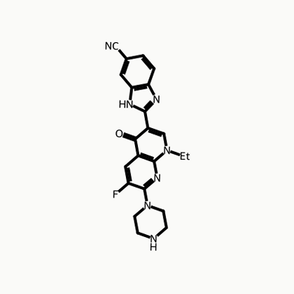 CCn1cc(-c2nc3ccc(C#N)cc3[nH]2)c(=O)c2cc(F)c(N3CCNCC3)nc21